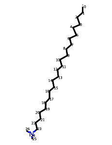 [CH2]CCCCCCCCCCCCCCCCCCCCCCCN(C)C